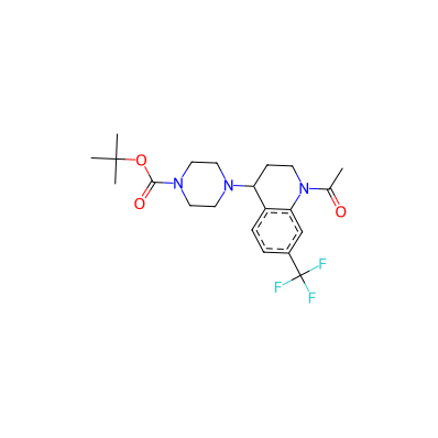 CC(=O)N1CCC(N2CCN(C(=O)OC(C)(C)C)CC2)c2ccc(C(F)(F)F)cc21